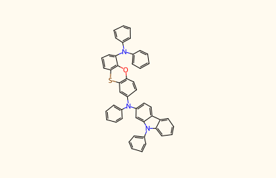 c1ccc(N(c2ccc3c(c2)Sc2cccc(N(c4ccccc4)c4ccccc4)c2O3)c2ccc3c4ccccc4n(-c4ccccc4)c3c2)cc1